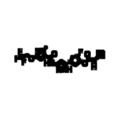 Cn1nc(OCC(F)(F)F)cc1C(=O)Nc1cc([C@@H]2C[C@H](F)[C@H](OC(=O)NC34CC(C3)C4)C2)[nH]n1